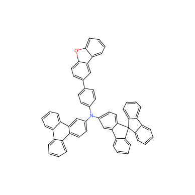 c1ccc2c(c1)-c1ccccc1C21c2ccccc2-c2cc(N(c3ccc(-c4ccc5oc6ccccc6c5c4)cc3)c3ccc4c5ccccc5c5ccccc5c4c3)ccc21